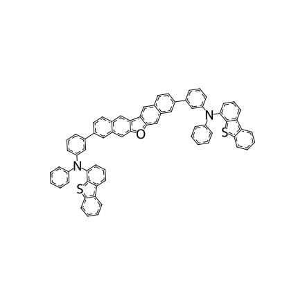 c1ccc(N(c2cccc(-c3ccc4cc5c(cc4c3)oc3cc4cc(-c6cccc(N(c7ccccc7)c7cccc8c7sc7ccccc78)c6)ccc4cc35)c2)c2cccc3c2sc2ccccc23)cc1